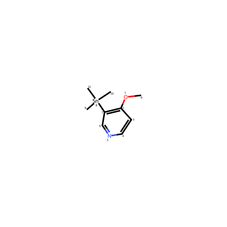 COc1ccnc[c]1[Sn]([CH3])([CH3])[CH3]